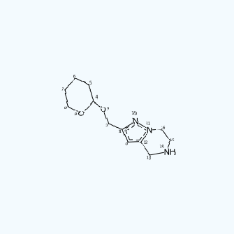 c1c(COC2CCCCO2)nn2c1CNCC2